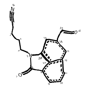 N#CCCCN1C(=O)c2cccc3cc(C=O)cc1c23